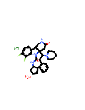 Cl.O.O=C1CC(NC(=O)NC2CCCC2)(C(Cc2ccccc2)N2CCCCC2)C(c2ccc(F)c(F)c2)CN1